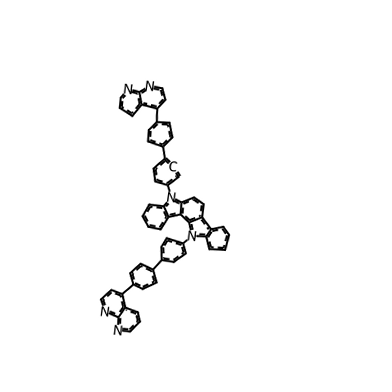 c1cnc2nccc(-c3ccc(-c4ccc(-n5c6ccccc6c6c5ccc5c7ccccc7n(-c7ccc(-c8ccc(-c9ccnc%10ncccc9%10)cc8)cc7)c56)cc4)cc3)c2c1